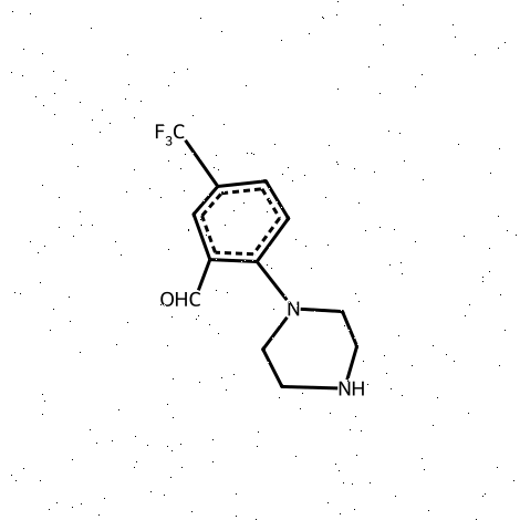 O=Cc1cc(C(F)(F)F)ccc1N1CCNCC1